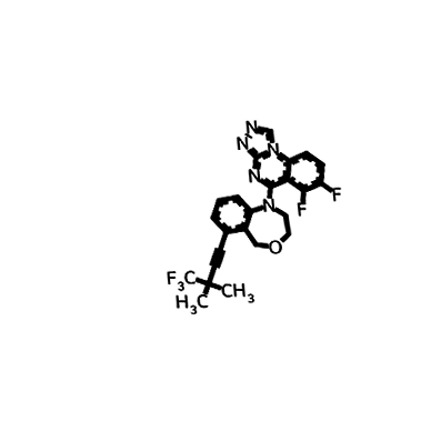 CC(C)(C#Cc1cccc2c1COCCN2c1nc2nncn2c2ccc(F)c(F)c12)C(F)(F)F